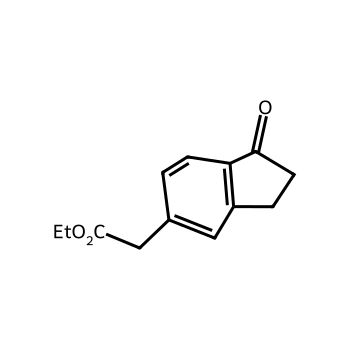 CCOC(=O)Cc1ccc2c(c1)CCC2=O